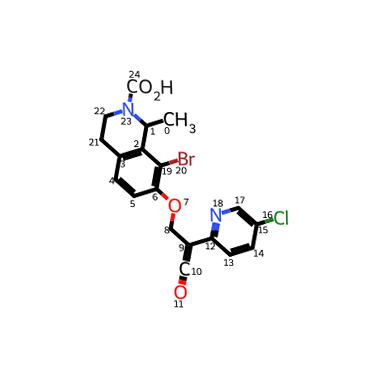 CC1c2c(ccc(OCC(=C=O)c3ccc(Cl)cn3)c2Br)CCN1C(=O)O